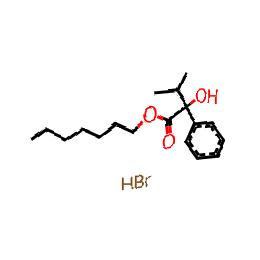 Br.CCCCCCCOC(=O)C(O)(c1ccccc1)C(C)C